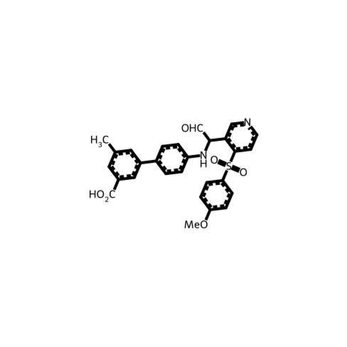 COc1ccc(S(=O)(=O)c2ccncc2C(C=O)Nc2ccc(-c3cc(C)cc(C(=O)O)c3)cc2)cc1